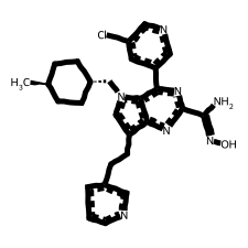 C[C@H]1CC[C@H](Cn2cc(CCc3cccnc3)c3nc(/C(N)=N/O)nc(-c4cncc(Cl)c4)c32)CC1